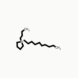 CCCCCCCCCC[N+]1(CCCC)CCCC1